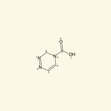 O=C(O)N1C=CN=NC1